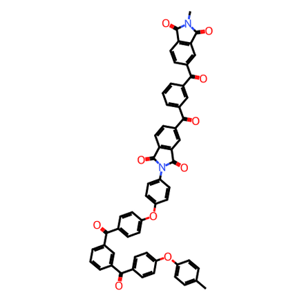 Cc1ccc(Oc2ccc(C(=O)c3cccc(C(=O)c4ccc(Oc5ccc(N6C(=O)c7ccc(C(=O)c8cccc(C(=O)c9ccc%10c(c9)C(=O)N(C)C%10=O)c8)cc7C6=O)cc5)cc4)c3)cc2)cc1